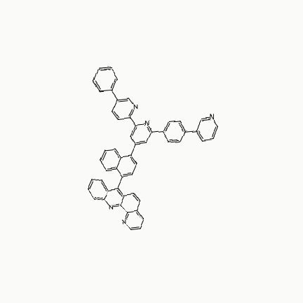 c1ccc(-c2ccc(-c3cc(-c4ccc(-c5c6ccccc6nc6c5ccc5cccnc56)c5ccccc45)cc(-c4ccc(-c5cccnc5)cc4)n3)nc2)cc1